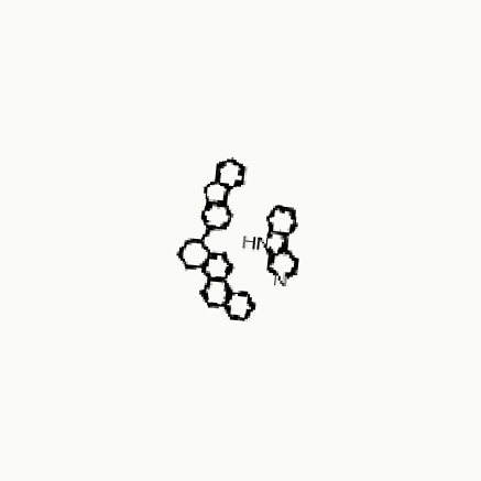 c1ccc2c(c1)Cc1cc(C3CCCc4c3ccc3c4ccc4ccccc43)ccc1-2.c1ccc2c(c1)[nH]c1cnccc12